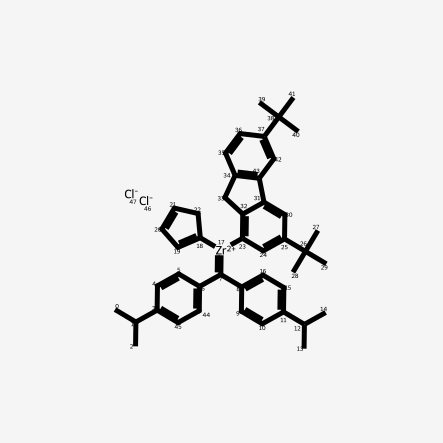 CC(C)c1ccc([C](c2ccc(C(C)C)cc2)=[Zr+2]([C]2=CC=CC2)[c]2cc(C(C)(C)C)cc3c2Cc2ccc(C(C)(C)C)cc2-3)cc1.[Cl-].[Cl-]